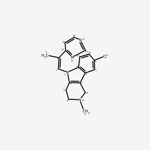 C/C(=C/n1c2c(c3cc(Cl)ccc31)CN(C)CC2)c1ccncn1